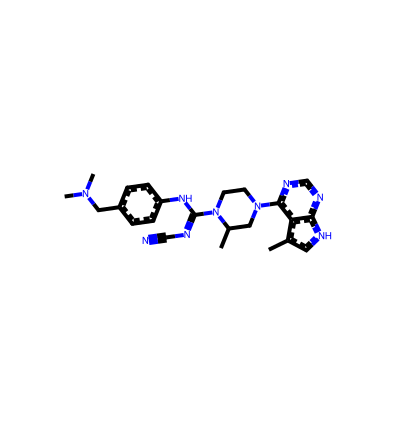 Cc1c[nH]c2ncnc(N3CCN(C(=NC#N)Nc4ccc(CN(C)C)cc4)C(C)C3)c12